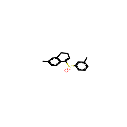 Cc1cccc([S+]([O-])C2=CCCc3cc(C)ccc32)c1